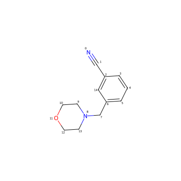 N#Cc1c[c]cc(CN2CCOCC2)c1